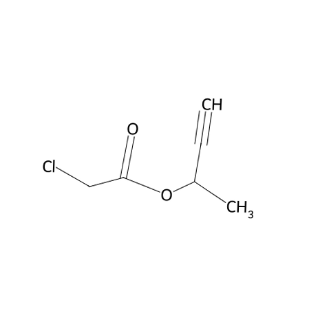 C#CC(C)OC(=O)CCl